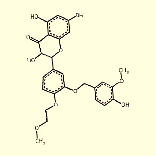 COCCOc1ccc(C2Oc3cc(O)cc(O)c3C(=O)C2O)cc1OCc1ccc(O)c(OC)c1